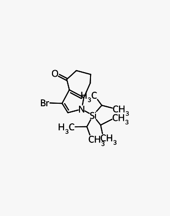 CC(C)[Si](C(C)C)(C(C)C)n1cc(Br)c2c1CCCC2=O